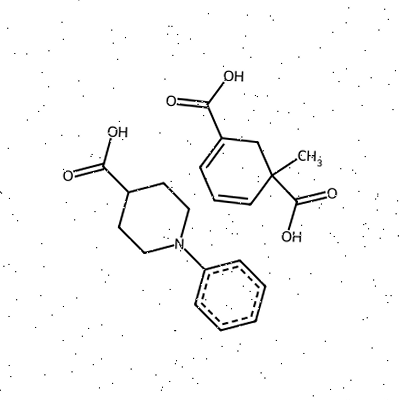 CC1(C(=O)O)C=CC=C(C(=O)O)C1.O=C(O)C1CCN(c2ccccc2)CC1